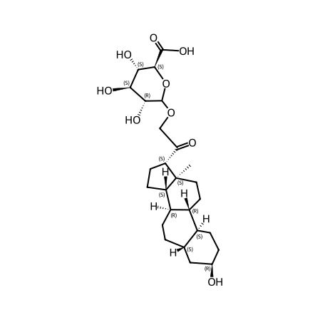 C[C@]12CC[C@H]3[C@@H](CC[C@H]4C[C@H](O)CC[C@@H]43)[C@@H]1CC[C@@H]2C(=O)COC1O[C@H](C(=O)O)[C@@H](O)[C@H](O)[C@H]1O